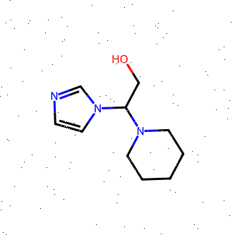 OCC(N1CCCCC1)n1ccnc1